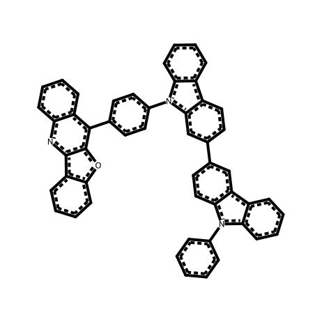 c1ccc(-n2c3ccccc3c3cc(-c4ccc5c6ccccc6n(-c6ccc(-c7c8ccccc8nc8c7oc7ccccc78)cc6)c5c4)ccc32)cc1